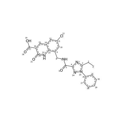 CCc1nc(C(=O)NCc2cc(Cl)cc3cc(C(=O)O)c(=O)[nH]c23)nn1-c1ccccc1